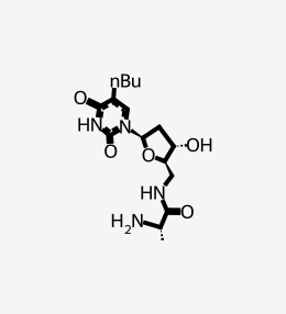 CCCCc1cn([C@H]2C[C@H](O)[C@@H](CNC(=O)[C@H](C)N)O2)c(=O)[nH]c1=O